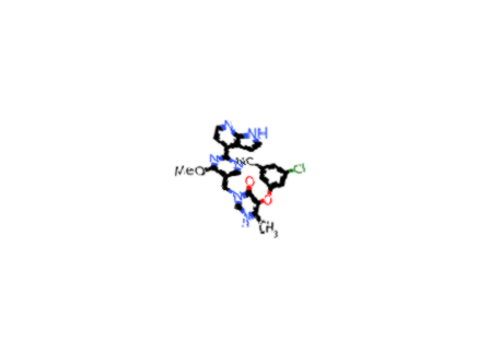 COc1nc(-c2ccnc3[nH]ccc23)ncc1Cn1cnc(C)c(Oc2cc(Cl)cc(C#N)c2)c1=O